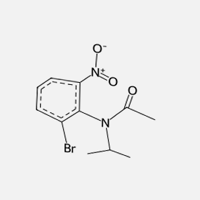 CC(=O)N(c1c(Br)cccc1[N+](=O)[O-])C(C)C